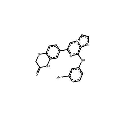 COc1cc(Nc2nc(-c3ccc4c(c3)NC(=O)CO4)cn3ccnc23)ccn1